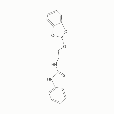 S=C(NCCOP1Oc2ccccc2O1)Nc1ccccc1